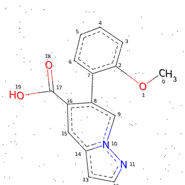 COc1ccccc1-c1cn2nccc2cc1C(=O)O